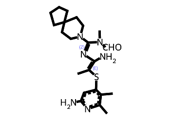 C/C(Sc1cc(N)nc(C)c1C)=C(N)\N=C(/N(C)C=O)N1CCC2(CCCC2)CC1